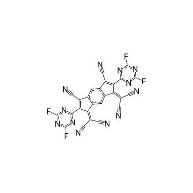 N#CC(C#N)=C1C(c2nc(F)nc(F)n2)=C(C#N)c2cc3c(cc21)C(=C(C#N)C#N)C(c1nc(F)nc(F)n1)=C3C#N